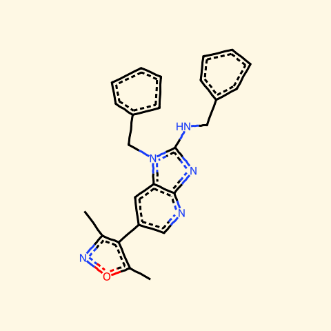 Cc1noc(C)c1-c1cnc2nc(NCc3ccccc3)n(Cc3ccccc3)c2c1